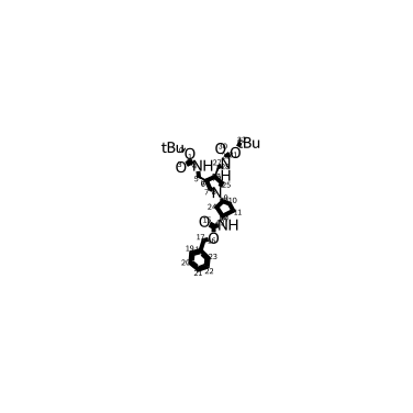 CC(C)(C)OC(=O)NC[C@@H]1CN([C@@H]2CC[C@H](NC(=O)OCc3ccccc3)C2)C[C@@H]1CNC(=O)OC(C)(C)C